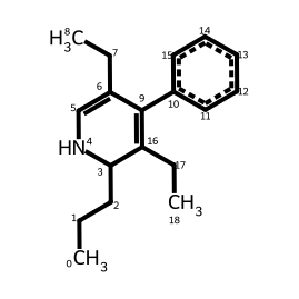 CCCC1NC=C(CC)C(c2ccccc2)=C1CC